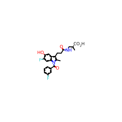 Cc1c(CCC(=O)NC[C@H](C)C(=O)O)c2cc(O)c(F)cc2n1C(=O)c1cccc(F)c1